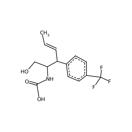 C/C=C/C(c1ccc(C(F)(F)F)cc1)C(CO)NC(=O)O